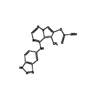 COC(=O)Oc1cn2ncnc(Nc3ccc4[nH]nnc4c3)c2c1C